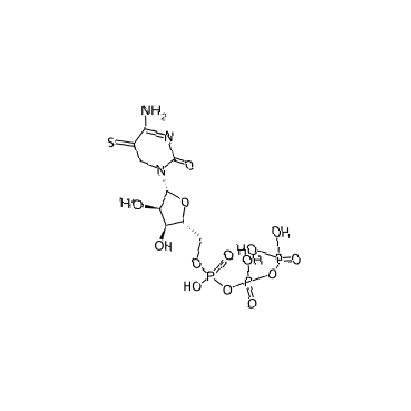 NC1=NC(=O)N([C@@H]2O[C@H](COP(=O)(O)OP(=O)(O)OP(=O)(O)O)[C@@H](O)[C@H]2O)CC1=S